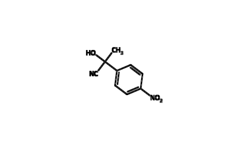 CC(O)(C#N)c1ccc([N+](=O)[O-])cc1